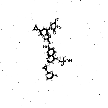 Cc1ccnc([C@H]2C[C@@H]2c2cc(NCC(C)(C)O)c3ccc(NCc4cn5cc(C6CC6)cc(N6CC(=O)N(C)C6=O)c5n4)cc3n2)n1